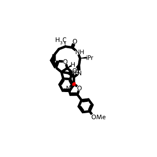 COc1ccc(-c2cnc(-c3nc4oc3C35c6ccccc6N[C@H]3Oc3ccc(cc35)C[C@H](C)C(=O)N[C@H]4C(C)C)o2)cc1